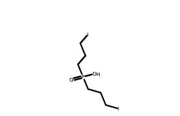 O=P(O)(CCCI)CCCI